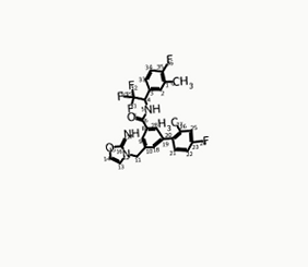 Cc1cc(C(NC(=O)c2cc(Cn3ccoc3=N)cc(-c3ccc(F)cc3C)c2)C(F)(F)F)ccc1F